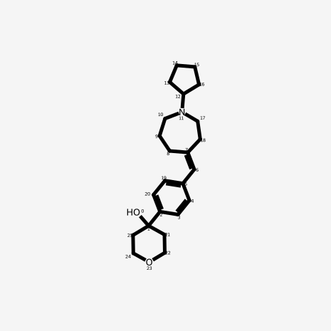 OC1(c2ccc(/C=C3\CCCN(C4CCCC4)CC3)cc2)CCOCC1